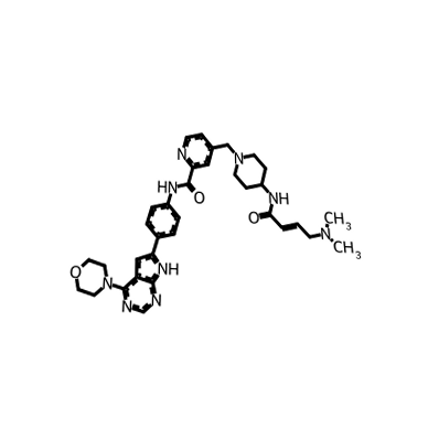 CN(C)C/C=C/C(=O)NC1CCN(Cc2ccnc(C(=O)Nc3ccc(-c4cc5c(N6CCOCC6)ncnc5[nH]4)cc3)c2)CC1